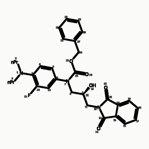 CCCN(CCC)c1ccc(N(C[C@@H](O)CN2C(=O)c3ccccc3C2=O)C(=O)OCc2ccccc2)cc1F